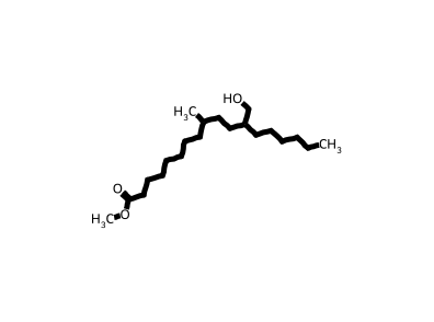 CCCCCCC(CO)CCC(C)CCCCCCCC(=O)OC